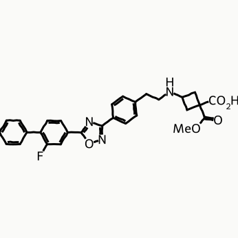 COC(=O)C1(C(=O)O)CC(NCCc2ccc(-c3noc(-c4ccc(-c5ccccc5)c(F)c4)n3)cc2)C1